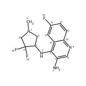 CN1CC(Nc2c(N)cnc3ccc(F)cc23)C(F)(F)C1